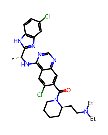 CCN(CC)CC[C@H]1CCCCN1C(=O)c1cc2ncnc(N[C@H](C)c3nc4cc(Cl)ccc4[nH]3)c2cc1Cl